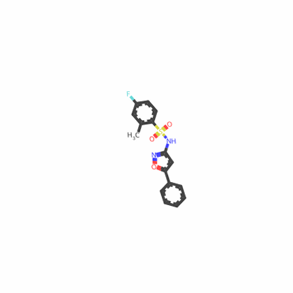 Cc1cc(F)ccc1S(=O)(=O)Nc1cc(-c2ccccc2)on1